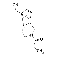 C=CC(=O)N1CCN2c3cc(ccc3CC#N)C2C1